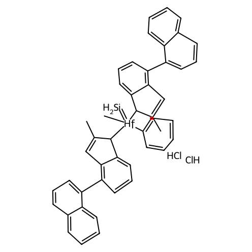 CC1=Cc2c(-c3cccc4ccccc34)cccc2[CH]1[Hf]([CH3])(=[SiH2])([c]1ccccc1)[CH]1C(C)=Cc2c(-c3cccc4ccccc34)cccc21.Cl.Cl